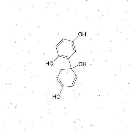 OC1=CCC(O)(c2cc(O)ccc2O)C=C1